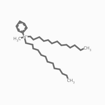 CCCCCCCCCCCCC[N+](C)(CCCCCCCCCCCCC)c1ccccc1